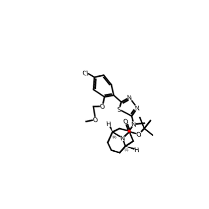 COCOc1cc(Cl)ccc1-c1nnc(N(C)C2C[C@H]3CCC[C@@H](C2)N3C(=O)OC(C)(C)C)s1